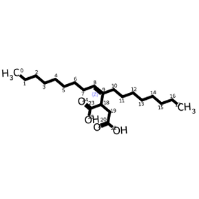 CCCCCCCC/C=C(/CCCCCCCC)C(CC(=O)O)C(=O)O